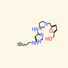 CC(C)(C)CCNc1cc(N[C@@H]2CCN(Cc3ccc(CO)o3)C2)ncn1